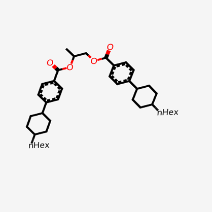 CCCCCCC1CCC(c2ccc(C(=O)OCC(C)OC(=O)c3ccc(C4CCC(CCCCCC)CC4)cc3)cc2)CC1